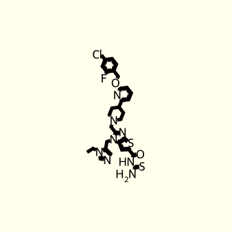 CCn1cncc1Cn1c(CN2CCC(c3cccc(OCc4ccc(Cl)cc4F)n3)CC2)nc2sc(C(=O)NC(N)=S)cc21